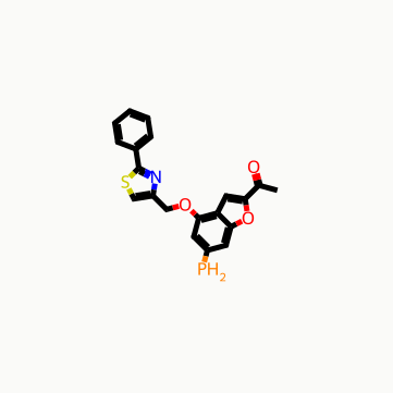 CC(=O)c1cc2c(OCc3csc(-c4ccccc4)n3)cc(P)cc2o1